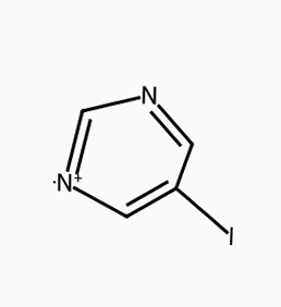 IC1=C[N+]=CN=C1